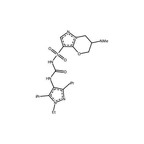 CCn1nc(C(C)C)c(NC(=O)NS(=O)(=O)c2cnn3c2OCC(NC)C3)c1C(C)C